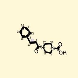 O=C(O)N1CCN(C(=O)/C=C/c2ccccc2)CC1